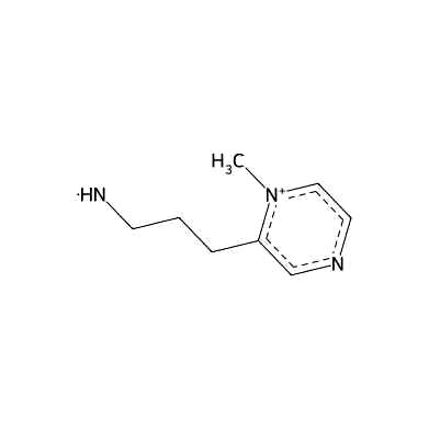 C[n+]1ccncc1CCC[NH]